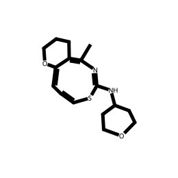 Cc1nc(NC2CCOCC2)scccc2c1CCCO2